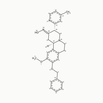 COc1cc2c(cc1OCc1ccccc1)CCN1C[C@@H](c3cc(C)ccn3)C(=NO)C[C@H]21